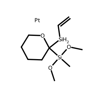 C=C[SiH2]C1([Si](C)(OC)OC)CCCCO1.[Pt]